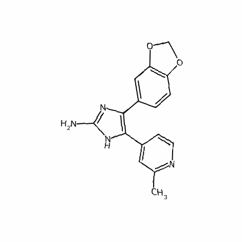 Cc1cc(-c2[nH]c(N)nc2-c2ccc3c(c2)OCO3)ccn1